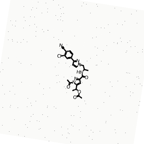 CC(=O)OC(C)c1cc(C(=O)NC(C)Cn2ccc(-c3ccc(C#N)c(Cl)c3)n2)nn1C(C)=O